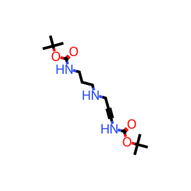 CC(C)(C)OC(=O)NC#CCNCCCNC(=O)OC(C)(C)C